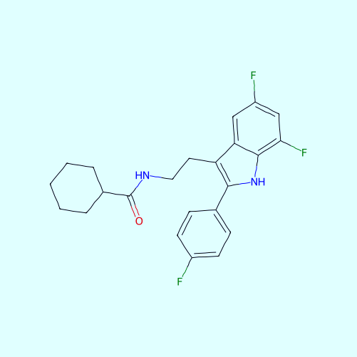 O=C(NCCc1c(-c2ccc(F)cc2)[nH]c2c(F)cc(F)cc12)C1CCCCC1